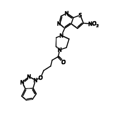 O=C(CCCOn1nnc2ccccc21)N1CCN(c2ncnc3sc([N+](=O)[O-])cc23)CC1